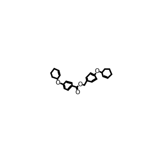 O=C(OCc1ccc(OC2C=CCCC2)cc1)c1ccc(OC2C=CCCC2)cc1